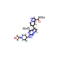 CNC(=O)c1cnn2ccc(-c3ccn4nc(N[C@H]5CCN(C6COC6)C[C@H]5F)nc(OC)c34)cc12